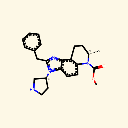 COC(=O)N1c2ccc3c(nc(Cc4ccccc4)n3[C@H]3CCNC3)c2CC[C@@H]1C